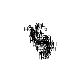 CC(C)C[C@H](NC(=O)CNC(=O)[C@H](CCC(=O)O)NC(=O)CNC(=O)[C@H](C)N)C(=O)N[C@@H](CC(N)=O)C(=O)N[C@@H](CO)C(=O)N[C@@H](CCC(N)=O)C(=O)N[C@@H](Cc1ccccc1)C(=O)N[C@@H](Cc1c[nH]c2ccccc12)C(=O)N[C@@H](CO)C(=O)N[C@@H](CC(C)C)C(=O)N[C@@H](C)C(=O)N[C@@H](C)C(=O)N1CCC[C@H]1C(=O)N[C@@H](CCC(N)=O)C(=O)N[C@@H](CCCN=C(N)N)C(=O)N[C@@H](Cc1ccccc1)C(=O)O